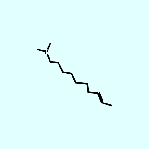 CC=CCCCCCCCP(C)C